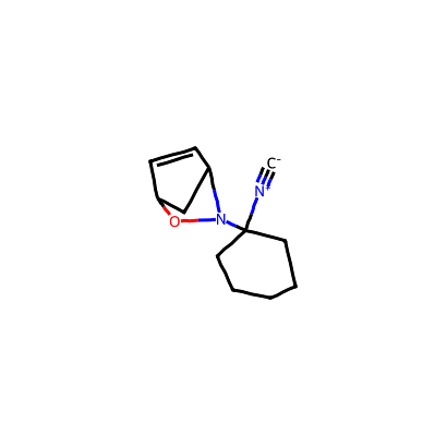 [C-]#[N+]C1(N2OC3C=CC2C3)CCCCC1